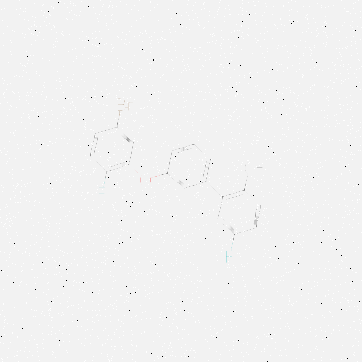 Fc1[c]c(-c2cccc(Oc3cc(Br)ccc3F)c2)c(C(F)(F)F)cc1